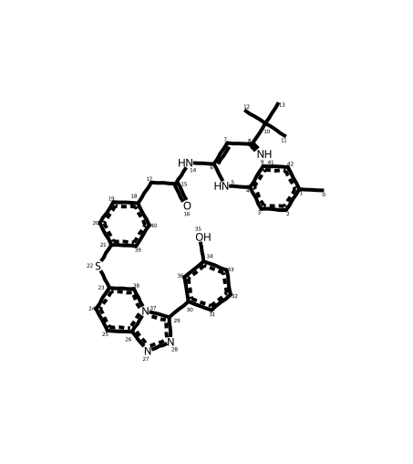 Cc1ccc(N/C(=C\C(=N)C(C)(C)C)NC(=O)Cc2ccc(Sc3ccc4nnc(-c5cccc(O)c5)n4c3)cc2)cc1